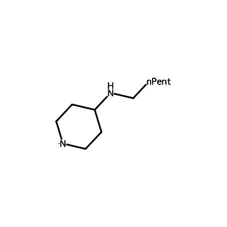 CCCCCCNC1CC[N]CC1